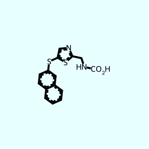 O=C(O)NCc1ncc(Sc2ccc3ccccc3c2)s1